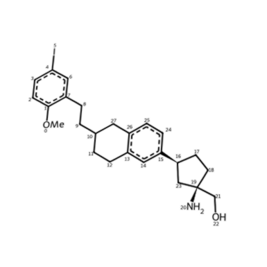 COc1ccc(I)cc1CCC1CCc2cc([C@H]3CC[C@](N)(CO)C3)ccc2C1